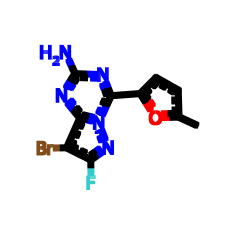 Cc1ccc(-c2nc(N)nc3c(Br)c(F)nn23)o1